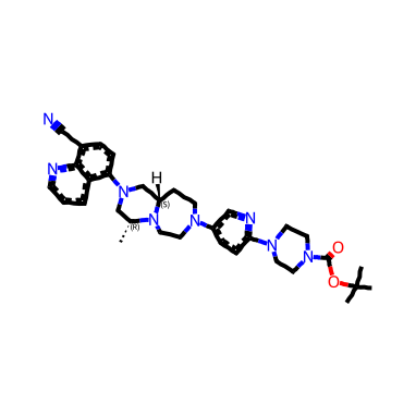 C[C@@H]1CN(c2ccc(C#N)c3ncccc23)C[C@@H]2CCN(c3ccc(N4CCN(C(=O)OC(C)(C)C)CC4)nc3)CCN21